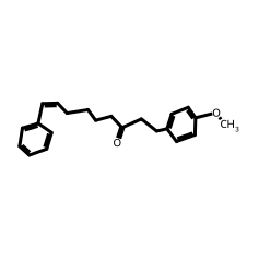 COc1ccc(CCC(=O)CCCC/C=C\c2ccccc2)cc1